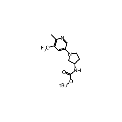 Cc1ncc(N2CC[C@@H](NC(=O)OC(C)(C)C)C2)cc1C(F)(F)F